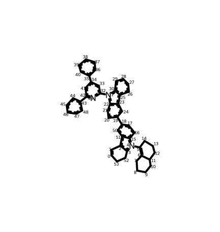 C1=Cc2c(n(C3=C4CCCCC4CCC3)c3ccc(-c4ccc5c(c4)c4ccccc4n5-c4cc(-c5ccccc5)cc(-c5ccccc5)n4)cc23)CC1